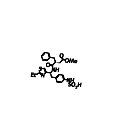 CCc1nc([C@H](Cc2ccc(NS(=O)(=O)O)cc2)NC(=O)[C@@H](CC(=O)OC)Cc2ccccc2)cs1